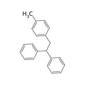 Cc1ccc(CC(c2ccccc2)c2ccccc2)cc1